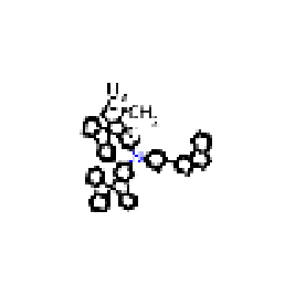 C=CC1=C(/C=C\C)C2(c3cc(N(c4ccc(-c5ccc6ccc7ccccc7c6c5)cc4)c4ccc5c(c4)-c4ccccc4C5(c4ccccc4)c4ccccc4)ccc31)c1ccccc1-c1ccccc12